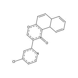 O=c1c(-c2cc(Cl)ccn2)coc2c1C1C=CC=CC1C=C2